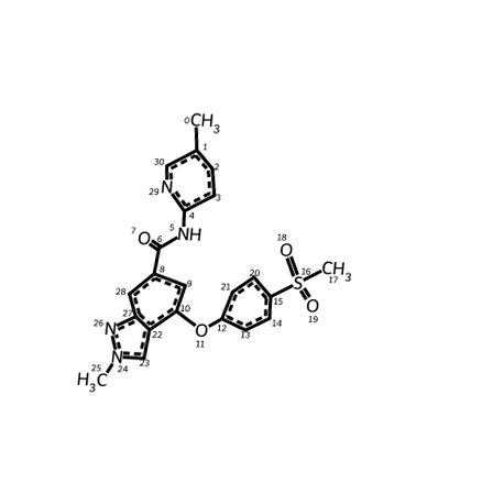 Cc1ccc(NC(=O)c2cc(Oc3ccc(S(C)(=O)=O)cc3)c3cn(C)nc3c2)nc1